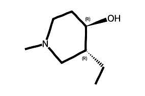 CC[C@@H]1CN(C)CC[C@H]1O